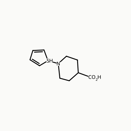 O=C(O)C1CCN([SH]2C=CC=C2)CC1